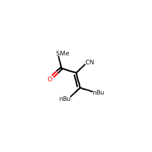 CCCCC(CCCC)=C(C#N)C(=O)SC